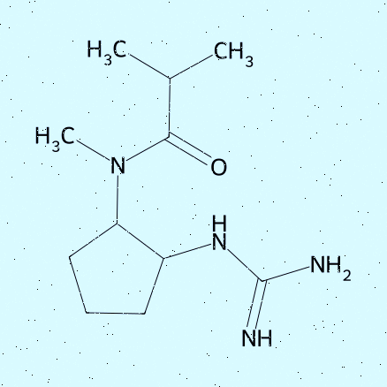 CC(C)C(=O)N(C)C1CCCC1NC(=N)N